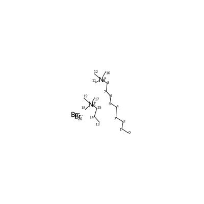 CCCCCCCCC[N+](C)(C)C.CCC[N+](C)(C)C.[Br-].[Br-]